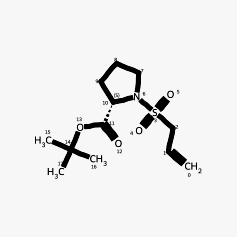 C=CCS(=O)(=O)N1CCC[C@H]1C(=O)OC(C)(C)C